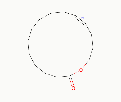 O=C1CCCCCCCCC/C=C\CCCO1